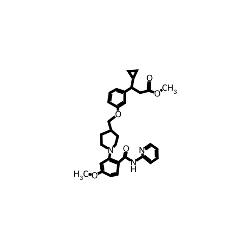 COC(=O)CC(c1cccc(OCC2CCN(c3cc(OC)ccc3C(=O)Nc3ccccn3)CC2)c1)C1CC1